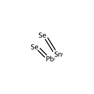 [Se]=[Pb].[Se]=[Sn]